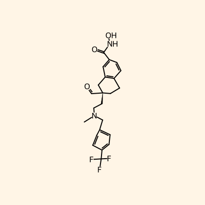 CN(CC[C@]1(C=O)CCc2ccc(C(=O)NO)cc2C1)Cc1ccc(C(F)(F)F)cc1